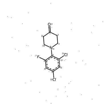 O=C1CCN(c2c(F)cc(Cl)cc2Cl)CC1